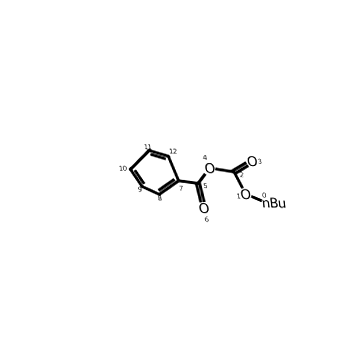 CCCCOC(=O)OC(=O)c1ccccc1